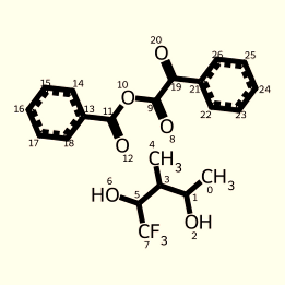 CC(O)C(C)C(O)C(F)(F)F.O=C(OC(=O)c1ccccc1)C(=O)c1ccccc1